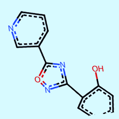 Oc1ccccc1-c1noc(-c2cccnc2)n1